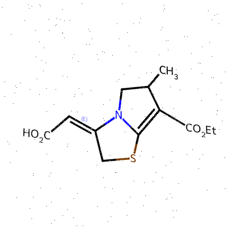 CCOC(=O)C1=C2SC/C(=C\C(=O)O)N2CC1C